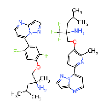 CC(C)C[C@](C)(N)COc1cc(F)c(-c2ccnc3ccnn23)cc1F.Cc1nc(-c2ccnc3ccnn23)ccc1OCC(N)(CC(C)C)C(F)(F)F